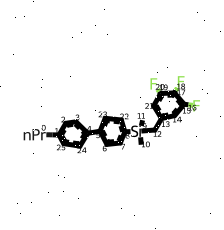 CCCc1ccc(-c2ccc([Si](C)(C)Cc3cc(F)c(F)c(F)c3)cc2)cc1